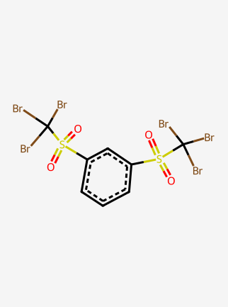 O=S(=O)(c1cccc(S(=O)(=O)C(Br)(Br)Br)c1)C(Br)(Br)Br